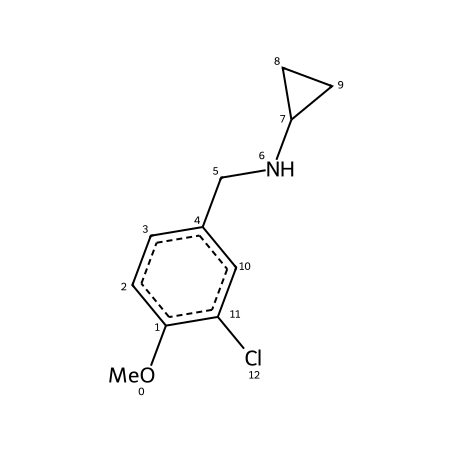 COc1ccc(CNC2CC2)cc1Cl